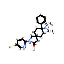 CN(C)C1(c2ccccc2)CCC2(CC1)CC(=O)N(c1ccc(F)cn1)C2